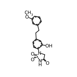 COc1cccc(CCc2ccc(N3CC(=O)NS3(=O)=O)c(O)c2)c1